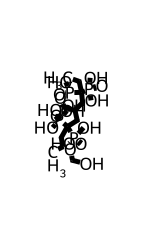 CCC(CC(CC(CC(C)OCO)(P(=O)(O)O)P(=O)(O)O)C(=O)O)(P(=O)(O)O)P(=O)(O)O